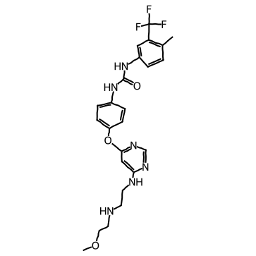 COCCNCCNc1cc(Oc2ccc(NC(=O)Nc3ccc(C)c(C(F)(F)F)c3)cc2)ncn1